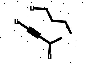 [Li][CH2]CCC.[Li][C]#C[CH]([Li])C